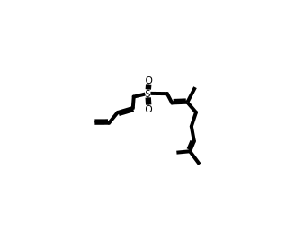 C=C/C=C/CS(=O)(=O)C/C=C(\C)CCC=C(C)C